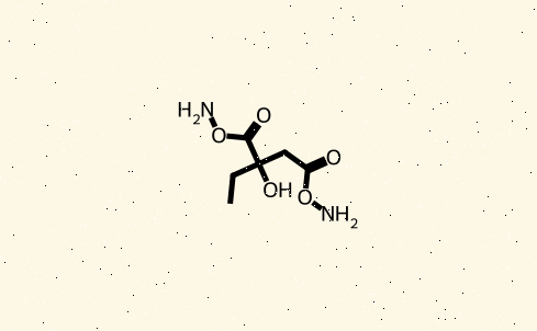 CCC(O)(CC(=O)ON)C(=O)ON